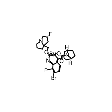 CC(C)(C)OC(=O)N1[C@@H]2CC[C@H]1CN(c1nc(OCC34CCCN3C[C@H](F)C4)nc3c(F)c(Br)ccc13)C2